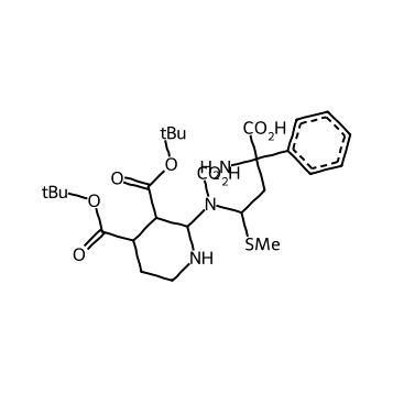 CSC(CC(N)(C(=O)O)c1ccccc1)N(C(=O)O)C1NCCC(C(=O)OC(C)(C)C)C1C(=O)OC(C)(C)C